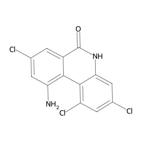 Nc1cc(Cl)cc2c(=O)[nH]c3cc(Cl)cc(Cl)c3c12